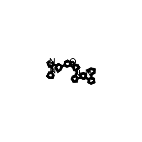 c1ccc(-n2c3ccc(-c4ccc5oc6ccc(-n7c8ccccc8c8cc(-c9ccccc9-c9ccccn9)ccc87)cc6c5c4)cc3c3ncccc32)cc1